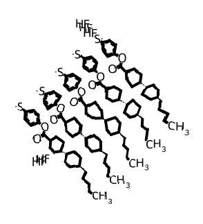 CCCCC[C@H]1CC[C@H](C2CCC(C(=O)Oc3ccc([S])cc3)CC2)CC1.CCCCC[C@H]1CC[C@H](C2CCC(C(=O)Oc3ccc([S])cc3)CC2)CC1.CCCCC[C@H]1CC[C@H](C2CCC(C(=O)Oc3ccc([S])cc3)CC2)CC1.CCCCC[C@H]1CC[C@H](C2CCC(C(=O)Oc3ccc([S])cc3)CC2)CC1.CCCCC[C@H]1CC[C@H](C2CCC(C(=O)Oc3ccc([S])cc3)CC2)CC1.F.F.F.F.F